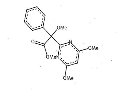 COC(=O)C(OC)(c1ccccc1)c1nc(OC)cc(OC)n1